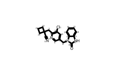 N#CC1(Cc2ncc(Cn3c(=O)[nH]c4ccccc43)cc2Cl)CCC1